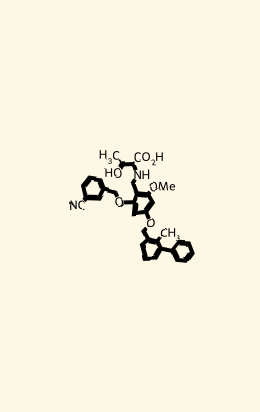 COc1cc(OCc2cccc(-c3ccccc3)c2C)cc(OCc2cccc(C#N)c2)c1CN[C@@H](C(=O)O)[C@@H](C)O